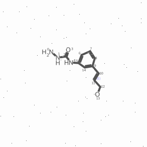 NNC(=O)Nc1cccc(/C=C/C[O])c1